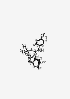 [2H]C([2H])([2H])CC(Nc1ccc(C(F)(F)F)cc1)n1nnc2ccccc21